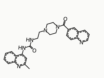 Cc1cc(NC(=O)NCCN2CCN(C(=O)c3ccc4ncccc4c3)CC2)c2ccccc2n1